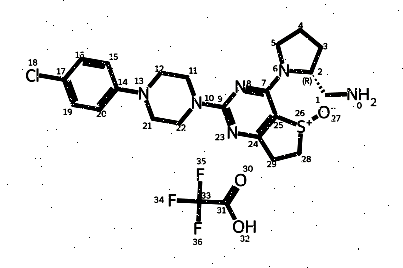 NC[C@H]1CCCN1c1nc(N2CCN(c3ccc(Cl)cc3)CC2)nc2c1[S+]([O-])CC2.O=C(O)C(F)(F)F